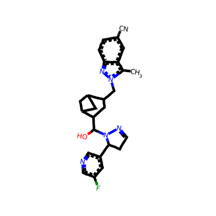 Cc1c2cc(C#N)ccc2nn1CC1CC(C(O)N2N=CCC2c2cncc(F)c2)C2CC1C2